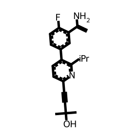 C=C(N)c1cc(-c2ccc(C#CC(C)(C)O)nc2C(C)C)ccc1F